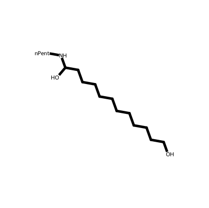 CCCCCNC(O)CCCCCCCCCCCO